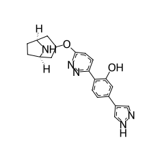 Oc1cc(-c2cn[nH]c2)ccc1-c1ccc(OC2C[C@H]3CC[C@@H](C2)N3)nn1